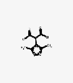 Cc1noc(C)c1C(C(=O)Cl)C(=O)Cl